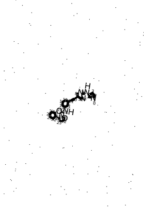 Cn1ccc(Nc2ncc(C#Cc3cccc(NC(=O)N4OCC[C@H]4c4ccccc4)c3)cn2)c1